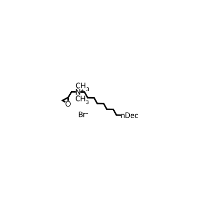 CCCCCCCCCCCCCCCCCC[N+](C)(C)CC1CO1.[Br-]